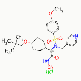 COc1ccc(S(=O)(=O)N(Cc2ccncc2)[C@@H](C(=O)NO)[C@H]2CC[C@H](OCC(C)(C)C)CC2)cc1.Cl